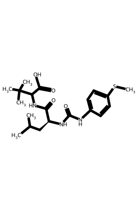 CSc1ccc(NC(=O)N[C@@H](CC(C)C)C(=O)NC(C(=O)O)C(C)(C)C)cc1